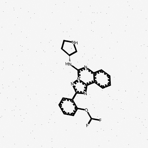 FC(F)Oc1ccccc1-c1nc2c3ccccc3nc(N[C@@H]3CCNC3)n2n1